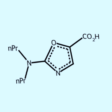 CCCN(CCC)c1ncc(C(=O)O)o1